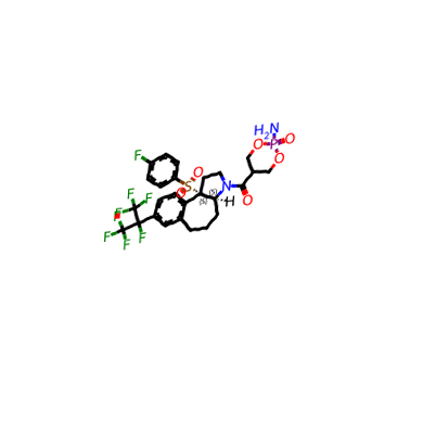 NP1(=O)OCC(C(=O)N2CC[C@]3(S(=O)(=O)c4ccc(F)cc4)c4ccc(C(F)(C(F)(F)F)C(F)(F)F)cc4CCC[C@H]23)CO1